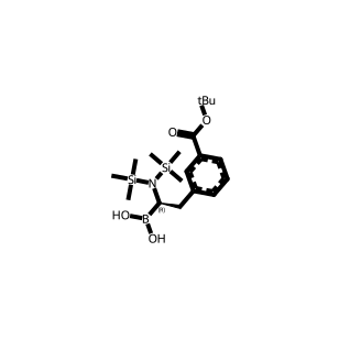 CC(C)(C)OC(=O)c1cccc(C[C@@H](B(O)O)N([Si](C)(C)C)[Si](C)(C)C)c1